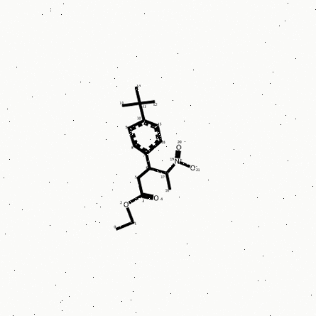 CCOC(=O)CC(c1ccc(C(C)(C)C)cc1)C(C)[N+](=O)[O-]